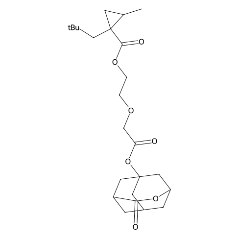 CC1CC1(CC(C)(C)C)C(=O)OCCOCC(=O)OC12CC3CC(C1)OC(=O)C(C3)C2